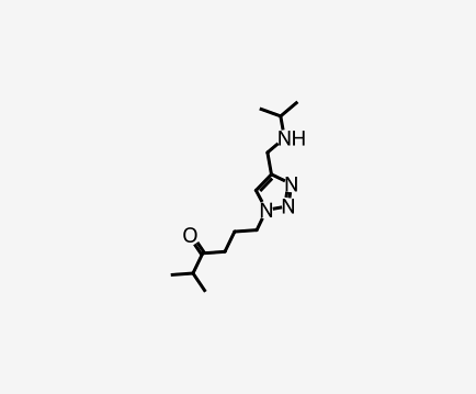 CC(C)NCc1cn(CCCC(=O)C(C)C)nn1